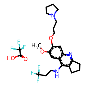 COc1cc2c(NCCC(F)(F)F)c3c(nc2cc1OCCCN1CCCC1)CCC3.O=C(O)C(F)(F)F